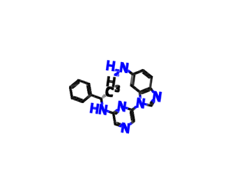 C[C@H](Nc1cncc(-n2cnc3ccc(N)cc32)n1)c1ccccc1